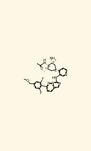 COCc1cc(F)c(-c2ccc3cnc(Nc4cnccc4[C@H]4C[C@@H](N)[C@@H](NC(C)=O)[C@@H](C)C4)n3n2)c(F)c1